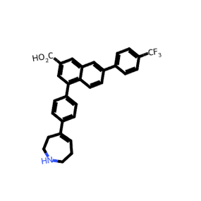 O=C(O)c1cc(-c2ccc(C3=CCCNCC3)cc2)c2ccc(-c3ccc(C(F)(F)F)cc3)cc2c1